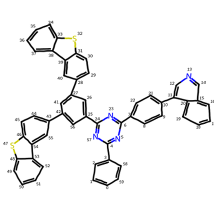 c1ccc(-c2nc(-c3ccc(-c4cncc5ccccc45)cc3)nc(-c3cc(-c4ccc5sc6ccccc6c5c4)cc(-c4ccc5sc6ccccc6c5c4)c3)n2)cc1